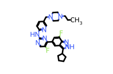 CCCN1CCN(Cc2ccc(Nc3ncc(F)c(-c4cc(F)c5n[nH]c(C6CCCC6)c5c4)n3)nc2)CC1